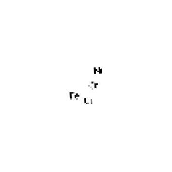 [C].[Cr].[Fe].[Ni]